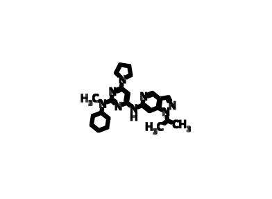 CC(C)n1ncc2cnc(Nc3cc(N4CCCC4)nc(N(C)C4CCCCC4)n3)cc21